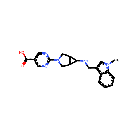 Cn1cc(CNC2C3CN(c4ncc(C(=O)O)cn4)CC32)c2ccccc21